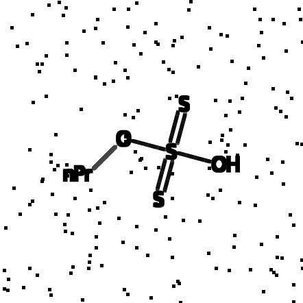 CCCOS(O)(=S)=S